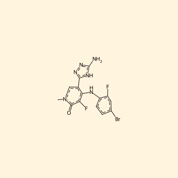 Cn1cc(-c2nnc(N)[nH]2)c(Nc2ccc(Br)cc2F)c(F)c1=O